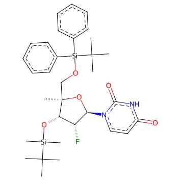 CC(C)(C)[Si](C)(C)O[C@H]1[C@@H](F)[C@H](n2ccc(=O)[nH]c2=O)O[C@]1(C)CO[Si](c1ccccc1)(c1ccccc1)C(C)(C)C